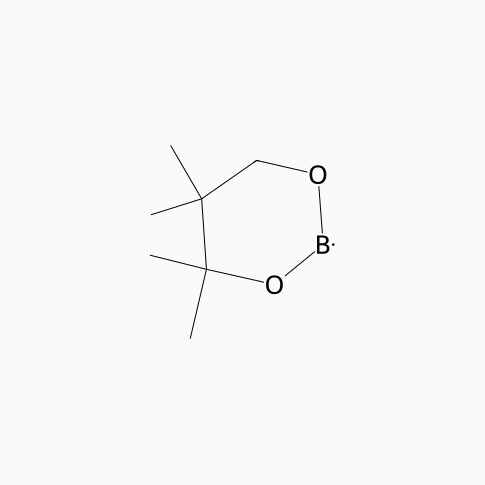 CC1(C)CO[B]OC1(C)C